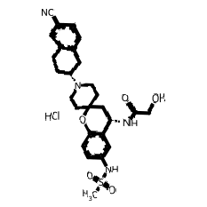 CS(=O)(=O)Nc1ccc2c(c1)[C@@H](NC(=O)CO)CC1(CCN([C@@H]3CCc4cc(C#N)ccc4C3)CC1)O2.Cl